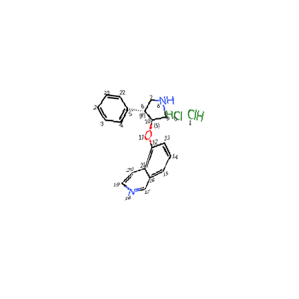 Cl.Cl.c1ccc([C@@H]2CNC[C@H]2Oc2cccc3cnccc23)cc1